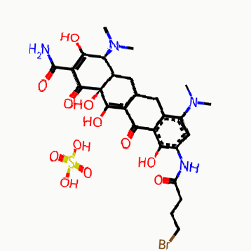 CN(C)c1cc(NC(=O)CCCBr)c(O)c2c1CC1CC3[C@H](N(C)C)C(O)=C(C(N)=O)C(=O)[C@@]3(O)C(O)=C1C2=O.O=S(=O)(O)O